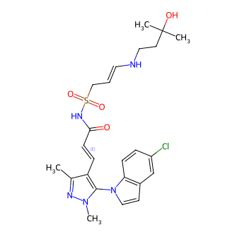 Cc1nn(C)c(-n2ccc3cc(Cl)ccc32)c1/C=C/C(=O)NS(=O)(=O)CC=CNCCC(C)(C)O